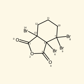 O=C1OC(=O)C2(Br)C(Br)(Br)CCCC12Br